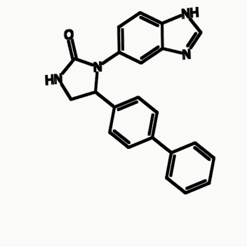 O=C1NCC(c2ccc(-c3ccccc3)cc2)N1c1ccc2[nH]cnc2c1